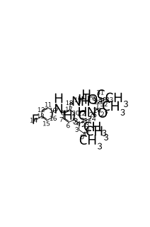 CC(C)CC(c1ccc(Nc2ccc(F)cc2)c(C=N)c1)C(C)(C)CNC(=O)C(O)C(C)(C)C